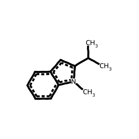 CC(C)c1cc2ccccc2n1C